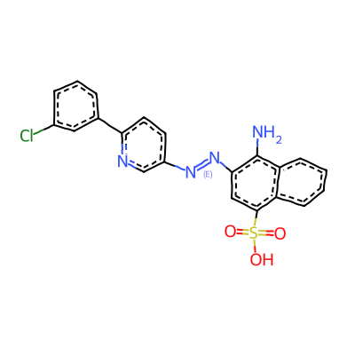 Nc1c(/N=N/c2ccc(-c3cccc(Cl)c3)nc2)cc(S(=O)(=O)O)c2ccccc12